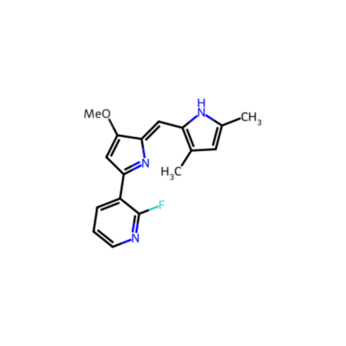 COC1=CC(c2cccnc2F)=NC1=Cc1[nH]c(C)cc1C